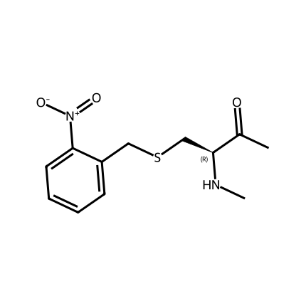 CN[C@@H](CSCc1ccccc1[N+](=O)[O-])C(C)=O